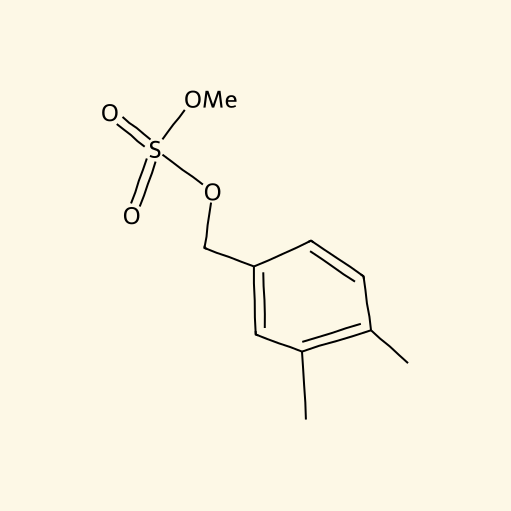 COS(=O)(=O)OCc1ccc(C)c(C)c1